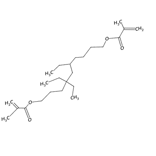 C=C(C)C(=O)OCCCCC(CC)CC(CC)(CC)CCCOC(=O)C(=C)C